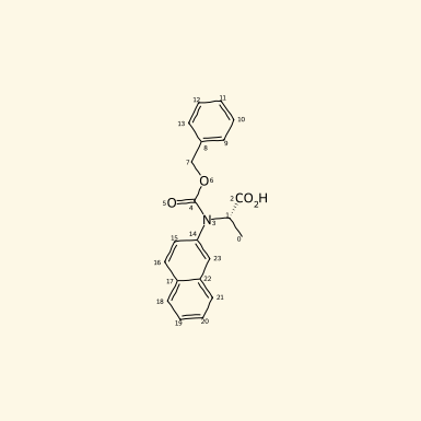 C[C@@H](C(=O)O)N(C(=O)OCc1ccccc1)c1ccc2ccccc2c1